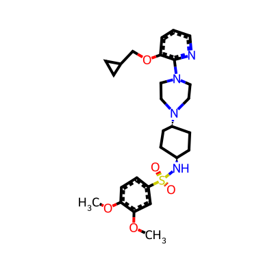 COc1ccc(S(=O)(=O)N[C@H]2CC[C@@H](N3CCN(c4ncccc4OCC4CC4)CC3)CC2)cc1OC